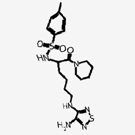 Cc1ccc(S(=O)(=O)NC(CCCCNc2nsnc2N)C(=O)N2CCCCC2)cc1